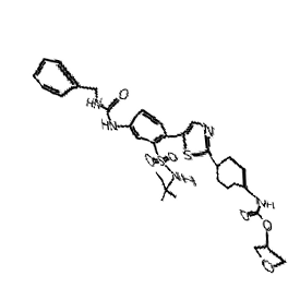 CC(C)(C)NS(=O)(=O)c1cc(NC(=O)NCc2ccccc2)ccc1-c1cnc(C2CCC(NC(=O)OC3COC3)CC2)s1